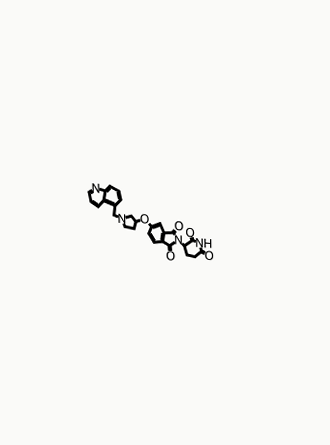 O=C1CCC(N2C(=O)c3ccc(OC4CCN(Cc5cccc6ncccc56)C4)cc3C2=O)C(=O)N1